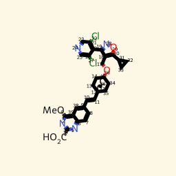 COc1nc(C(=O)O)nc2ccc(C=CC34CCC(OCc5c(-c6c(Cl)cncc6Cl)noc5C5CC5)(CC3)CC4)cc12